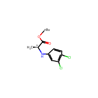 CCCCOC(=O)[C@H](C)Nc1ccc(Cl)c(Cl)c1